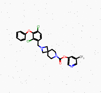 O=C(Oc1cncc(C(F)(F)F)c1)N1CCC2(CC1)CN(Cc1ccc(Cl)c(Oc3ccccc3)c1Cl)C2